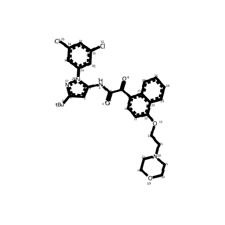 CC(C)(C)c1cc(NC(=O)C(=O)c2ccc(OCCN3CCOCC3)c3ccccc23)n(-c2cc(Cl)cc(Cl)c2)n1